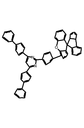 C1=CC2c3ccccc3C3(c4ccccc4Oc4c(-c5ccc(-c6nc(-c7ccc(-c8ccccc8)cc7)cc(-c7ccc(-c8ccccc8)cc7)n6)cc5)cccc43)C2C=C1